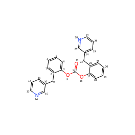 O=C(Oc1ccccc1Cc1cccnc1)Oc1ccccc1Cc1cccnc1